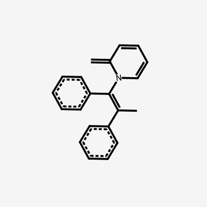 C=C1C=CC=CN1/C(=C(\C)c1ccccc1)c1ccccc1